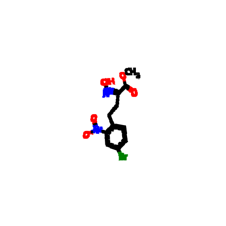 COC(=O)C(CCc1ccc(Br)cc1[N+](=O)[O-])=NO